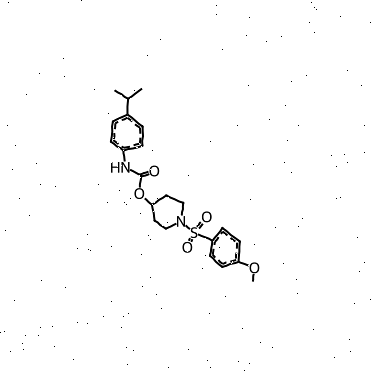 COc1ccc(S(=O)(=O)N2CCC(OC(=O)Nc3ccc(C(C)C)cc3)CC2)cc1